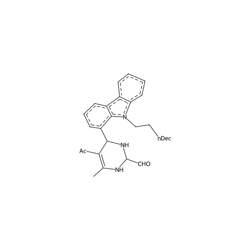 CCCCCCCCCCCCn1c2ccccc2c2cccc(C3NC(C=O)NC(C)=C3C(C)=O)c21